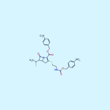 CC(I)C1C(=O)N2C(C(=O)OCc3ccc([N+](=O)[O-])cc3)=C(SCCNC(=O)OCc3ccc([N+](=O)[O-])cc3)CC12